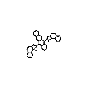 c1ccc2cc3c(-c4cc5ccc6ccccc6c5o4)c4ccccc4c(-c4cc5ccc6ccccc6c5o4)c3cc2c1